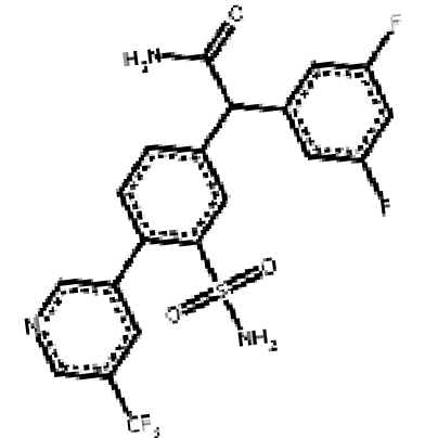 NC(=O)C(c1cc(F)cc(F)c1)c1ccc(-c2cncc(C(F)(F)F)c2)c(S(N)(=O)=O)c1